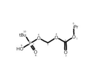 CC(C)OC(=O)OCOP(=O)(O)C(C)(C)C